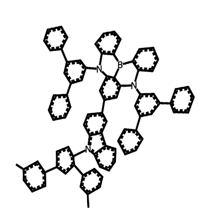 Cc1cccc(-c2ccc(-n3c4ccccc4c4cc(-c5cc6c7c(c5)N(c5cc(-c8ccccc8)cc(-c8ccccc8)c5)c5ccccc5B7c5ccccc5N6c5cc(-c6ccccc6)cc(-c6ccccc6)c5)ccc43)c(-c3cccc(C)c3)c2)c1